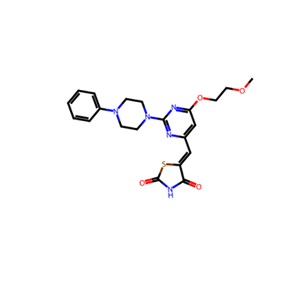 COCCOc1cc(/C=C2\SC(=O)NC2=O)nc(N2CCN(c3ccccc3)CC2)n1